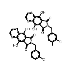 O=C1c2c(c(O)c3nccnc3c2O)C(=O)N1Cc1ccc(Cl)c(Cl)c1.O=C1c2c(c(O)c3nccnc3c2O)C(=O)N1Cc1cccc(Cl)c1